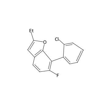 CCc1cc2ccc(F)c(-c3ccccc3Cl)c2o1